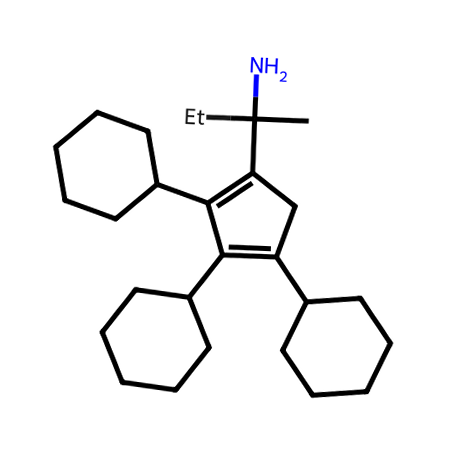 CCC(C)(N)C1=C(C2CCCCC2)C(C2CCCCC2)=C(C2CCCCC2)C1